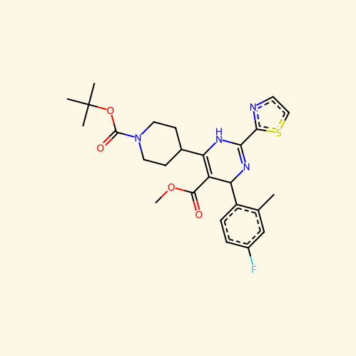 COC(=O)C1=C(C2CCN(C(=O)OC(C)(C)C)CC2)NC(c2nccs2)=NC1c1ccc(F)cc1C